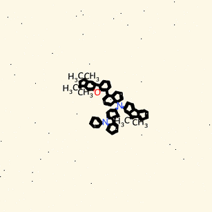 CC1(C)CC(C)(C)c2cc3c(cc21)oc1c(-c2cccc4c(N(c5ccc6c(c5)C(C)(C)c5ccccc5-6)c5ccc6c(c5)c5ccccc5n6-c5ccccc5)cccc24)cccc13